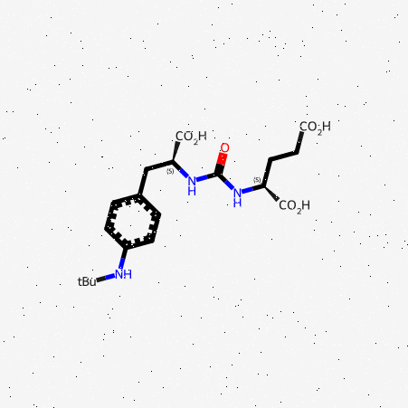 CC(C)(C)Nc1ccc(C[C@H](NC(=O)N[C@@H](CCC(=O)O)C(=O)O)C(=O)O)cc1